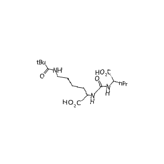 CCCC(NC(=O)NC(CCCCNC(=O)C(C)(C)C)C(=O)O)C(=O)O